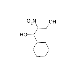 O=[N+]([O-])C(CO)C(O)C1CCCCC1